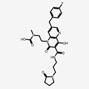 CN(CCn1c(=O)c(C(=O)NCCCN2CCCC2=O)c(O)c2ncc(Cc3ccc(F)cc3)cc21)C(=O)O